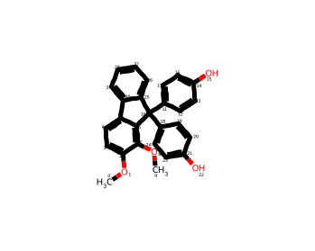 COc1ccc2c(c1OC)C(c1ccc(O)cc1)(c1ccc(O)cc1)c1ccccc1-2